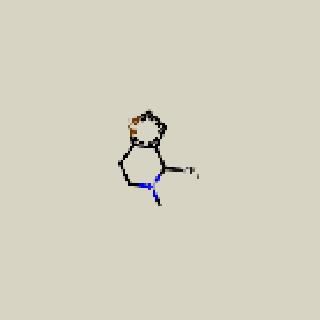 CN1CCc2sccc2C1C(F)(F)F